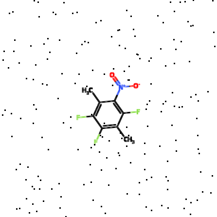 Cc1c(F)c(F)c(C)c([N+](=O)[O-])c1F